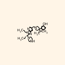 CCC[C@H](c1nc2cc(CN3CCC(c4cccc(O)c4)(N(C)C)CC3)cnc2n1CCC)N1CCNCC1